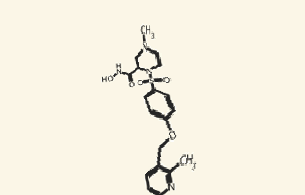 Cc1ncccc1COc1ccc(S(=O)(=O)N2CCN(C)CC2C(=O)NO)cc1